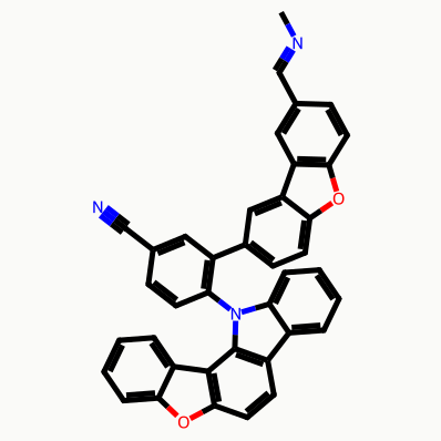 C/N=C/c1ccc2oc3ccc(-c4cc(C#N)ccc4-n4c5ccccc5c5ccc6oc7ccccc7c6c54)cc3c2c1